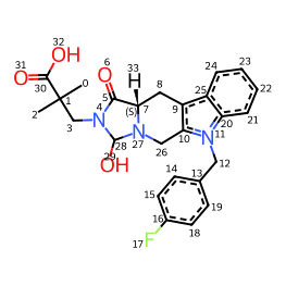 CC(C)(CN1C(=O)[C@@H]2Cc3c(n(Cc4ccc(F)cc4)c4ccccc34)CN2C1O)C(=O)O